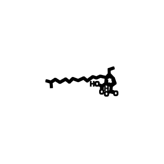 CCc1ccc(C(=O)O)c(C(=O)O)c1CCCCCCCCCCCC(C)C